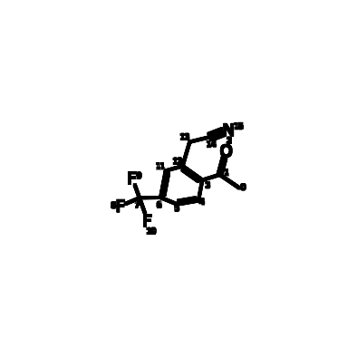 CC(=O)c1ccc(C(F)(F)F)cc1CC#N